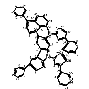 c1ccc(-c2ccc3c(c2)c2cc4c(cc2n3-c2cc(-c3cccnc3)ccn2)N(c2cc(-c3cccnc3)ccn2)c2cccc3c(-c5ccccc5)ccc-4c23)cc1